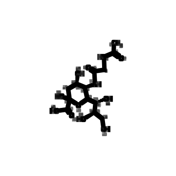 CC(=O)NCC(=O)N[C@H]1C([C@H](O)[C@H](O)CO)OC(O)(C(=O)O)C[C@H]1O